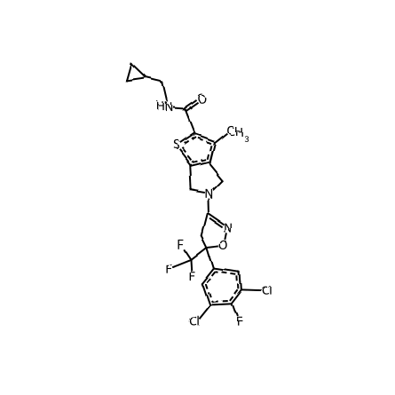 Cc1c(C(=O)NCC2CC2)sc2c1CN(C1=NOC(c3cc(Cl)c(F)c(Cl)c3)(C(F)(F)F)C1)C2